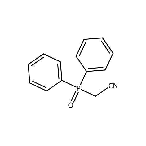 N#CCP(=O)(c1ccccc1)c1ccccc1